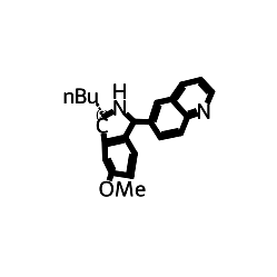 CCCC[C@H]1Cc2cc(OC)ccc2C(c2ccc3ncccc3c2)N1